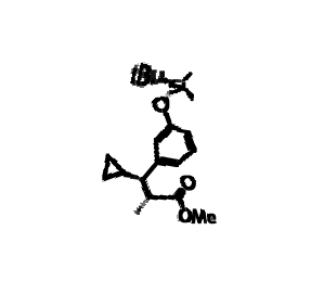 COC(=O)[C@H](C)[C@H](c1cccc(O[Si](C)(C)C(C)(C)C)c1)C1CC1